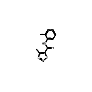 Cc1ccccc1NC(=O)c1snnc1C